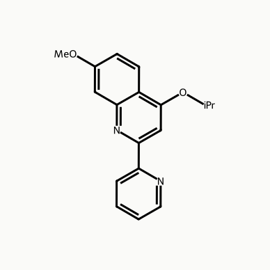 COc1ccc2c(OC(C)C)cc(-c3ccccn3)nc2c1